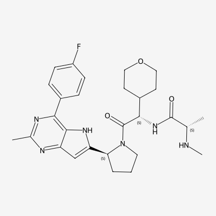 CN[C@@H](C)C(=O)N[C@H](C(=O)N1CCC[C@H]1c1cc2nc(C)nc(-c3ccc(F)cc3)c2[nH]1)C1CCOCC1